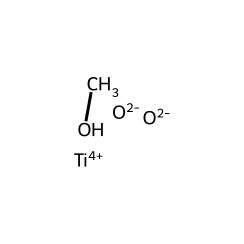 CO.[O-2].[O-2].[Ti+4]